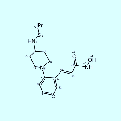 CC(C)SNC1CCN(c2ccccc2/C=C/C(=O)NO)CC1